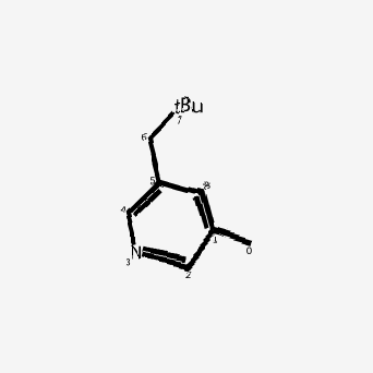 Cc1cncc(CC(C)(C)C)c1